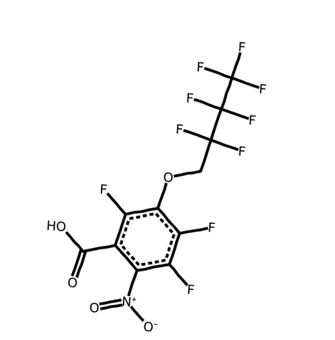 O=C(O)c1c(F)c(OCC(F)(F)C(F)(F)C(F)(F)F)c(F)c(F)c1[N+](=O)[O-]